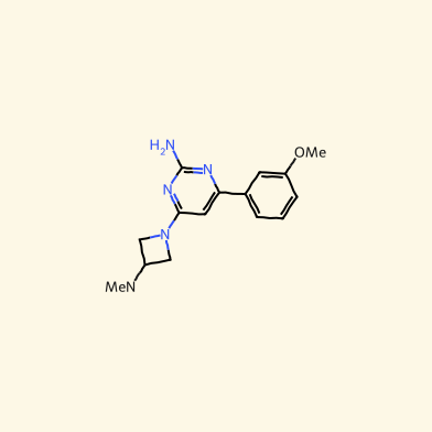 CNC1CN(c2cc(-c3cccc(OC)c3)nc(N)n2)C1